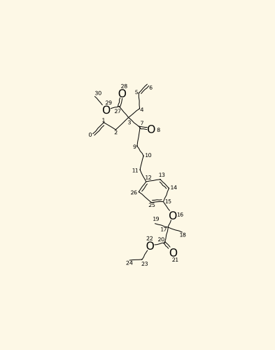 C=CCC(CC=C)(C(=O)CCCc1ccc(OC(C)(C)C(=O)OCC)cc1)C(=O)OC